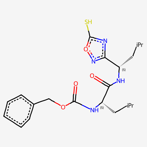 CC(C)C[C@H](NC(=O)OCc1ccccc1)C(=O)N[C@@H](CC(C)C)c1noc(S)n1